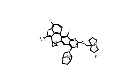 Nc1sc2c(F)ccc(-c3c(Cl)cc4c(N5CC6CCC(C5)N6)nc(OCC56CCCN5C[C@H](F)C6)nc4c3F)c2c1C1CC1